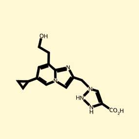 O=C(O)C1=CN(Cc2cn3cc(C4CC4)cc(CCO)c3n2)NN1